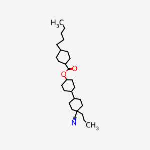 CCCCCC1CCC(C(=O)OC2CCC(C3CCC(C#N)(CCC)CC3)CC2)CC1